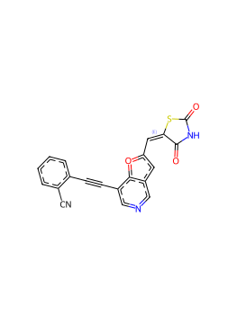 N#Cc1ccccc1C#Cc1cncc2cc(/C=C3/SC(=O)NC3=O)oc12